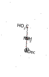 CCCCCCCCCCOC(=O)CCCCCCCCCCCNC(CCCCCCCCCCCC(=O)O)C(C)N